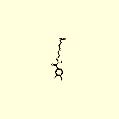 COCCOCCONC(=O)c1ccc(F)c(F)c1